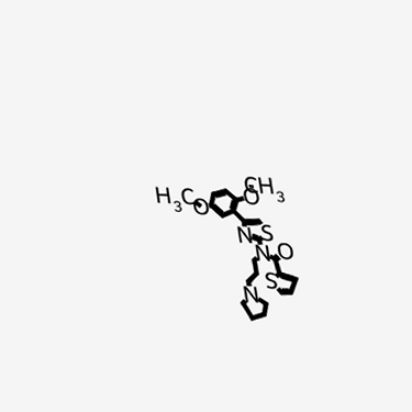 COc1ccc(OC)c(-c2csc(N(CCCN3CCCC3)C(=O)c3cccs3)n2)c1